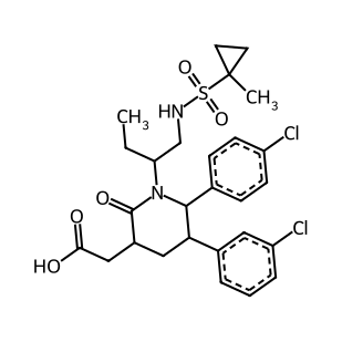 CCC(CNS(=O)(=O)C1(C)CC1)N1C(=O)C(CC(=O)O)CC(c2cccc(Cl)c2)C1c1ccc(Cl)cc1